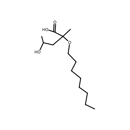 CCCCCCCCOC(C)(CC(C)O)C(=O)O